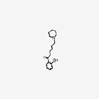 O=C(CCCCCN1CC[CH]CC1)c1ccccc1O